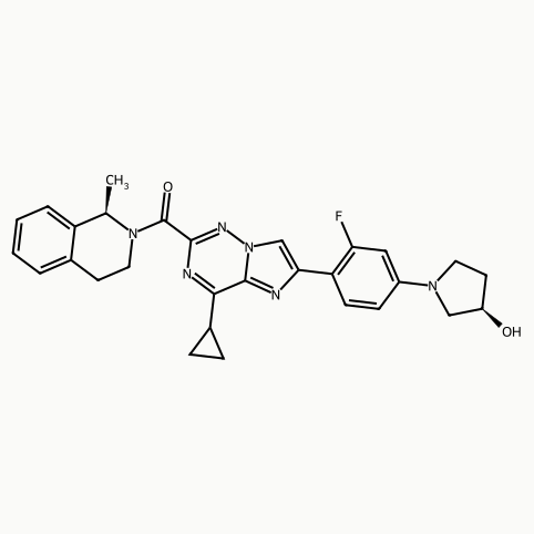 C[C@@H]1c2ccccc2CCN1C(=O)c1nc(C2CC2)c2nc(-c3ccc(N4CC[C@@H](O)C4)cc3F)cn2n1